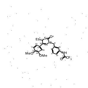 CCC1SC(=O)N(Cc2cccc(NC(=O)C(F)(F)F)c2)N=C1c1ccc(OC)c(OC)c1